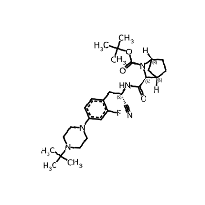 CC(C)(C)OC(=O)N1[C@@H]2CC[C@@H](C2)[C@H]1C(=O)N[C@H](C#N)Cc1ccc(N2CCN(C(C)(C)C)CC2)cc1F